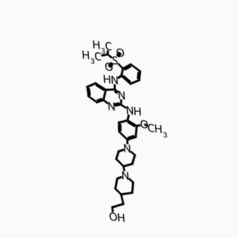 COc1cc(N2CCC(N3CCC(CCO)CC3)CC2)ccc1Nc1nc(Nc2ccccc2S(=O)(=O)C(C)C)c2ccccc2n1